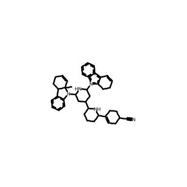 CC12C=CCCC1c1ccccc1N2C1CC(C2CCCC(C3=CCC(C#N)CC3)N2)CC(n2c3c(c4ccccc42)C=CCC3)N1